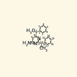 CC(c1ccccc1)c1cc(N)nc(C(C)c2ccccc2)n1